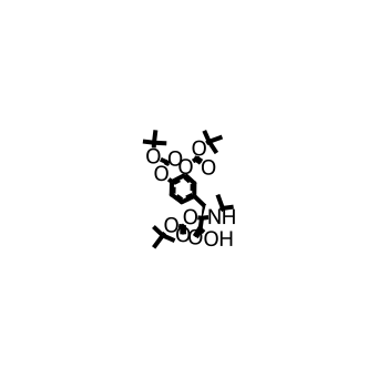 CC(C)N[C@@](Cc1ccc(OC(=O)OC(C)(C)C)c(OC(=O)OC(C)(C)C)c1)(OC(=O)OC(C)(C)C)C(=O)O